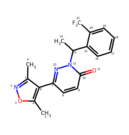 Cc1noc(C)c1-c1ccc(=O)n(C(C)c2ccccc2C(F)(F)F)n1